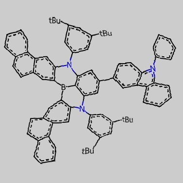 CC(C)(C)c1cc(N2c3cc4c(ccc5ccccc54)cc3B3c4cc5ccc6ccccc6c5cc4N(c4cc(C(C)(C)C)cc(C(C)(C)C)c4)c4cc(-c5ccc6c(c5)c5ccccc5n6-c5ccccc5)cc2c43)cc(C(C)(C)C)c1